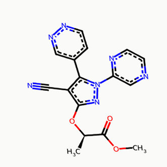 COC(=O)[C@@H](C)Oc1nn(-c2cnccn2)c(-c2ccnnc2)c1C#N